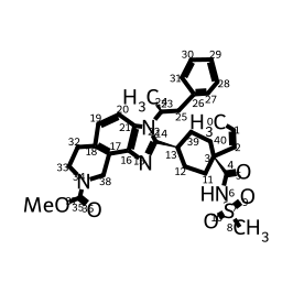 C/C=C\[C@]1(C(=O)NS(C)(=O)=O)CC[C@@H](c2nc3c4c(ccc3n2[C@@H](C)Cc2ccccc2)CCN(C(=O)OC)C4)CC1